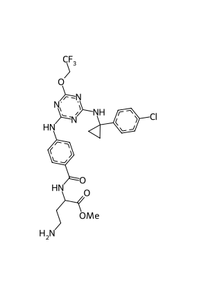 COC(=O)C(CCN)NC(=O)c1ccc(Nc2nc(NC3(c4ccc(Cl)cc4)CC3)nc(OCC(F)(F)F)n2)cc1